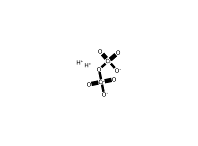 [H+].[H+].[O]=[Cr](=[O])([O-])[O][Cr](=[O])(=[O])[O-]